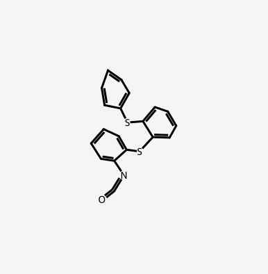 O=C=Nc1ccccc1Sc1ccccc1Sc1ccccc1